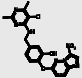 Cc1nc(C)c(Cl)c(NCc2ccc(Oc3ccc4ncc([N+](=O)[O-])n4n3)c(O)c2)n1